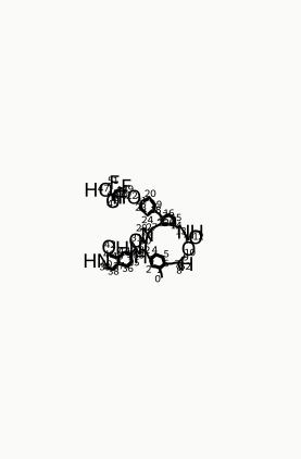 Cc1cc2ccc1[C@@H](C)COC(=O)Nc1ccc(-c3ccc(O)cc3)c(c1)CN(C)C(=O)[C@@H]2Nc1ccc2cc[nH]c(=O)c2c1.O=C(O)C(F)(F)F